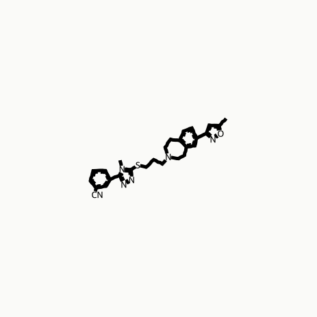 Cc1cc(-c2ccc3c(c2)CCN(CCCSc2nnc(-c4cccc(C#N)c4)n2C)CC3)no1